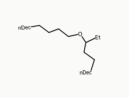 CCCCCCCCCCCCCCOC(CC)CCCCCCCCCCCC